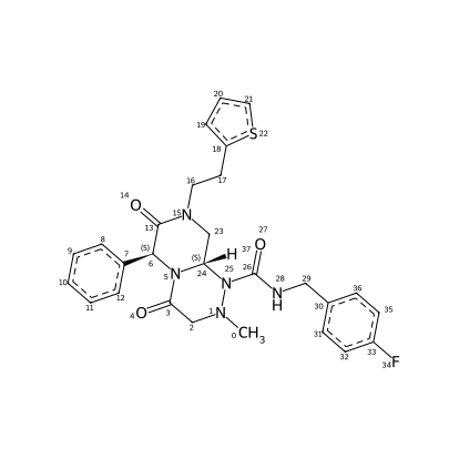 CN1CC(=O)N2[C@@H](c3ccccc3)C(=O)N(CCc3cccs3)C[C@@H]2N1C(=O)NCc1ccc(F)cc1